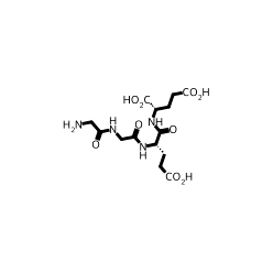 NCC(=O)NCC(=O)N[C@@H](CCC(=O)O)C(=O)N[C@@H](CCC(=O)O)C(=O)O